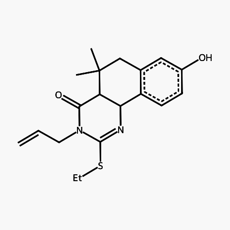 C=CCN1C(=O)C2C(N=C1SCC)c1ccc(O)cc1CC2(C)C